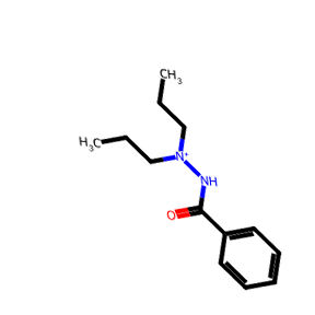 CCC[N+](CCC)NC(=O)c1ccccc1